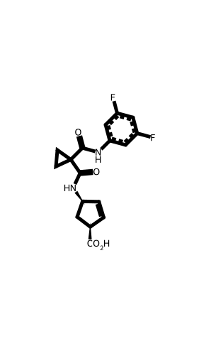 O=C(O)[C@@H]1C=C[C@H](NC(=O)C2(C(=O)Nc3cc(F)cc(F)c3)CC2)C1